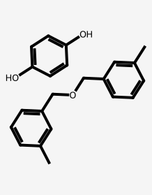 Cc1cccc(COCc2cccc(C)c2)c1.Oc1ccc(O)cc1